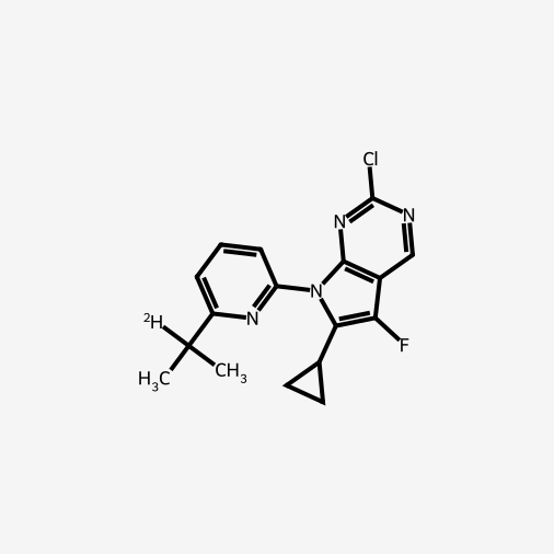 [2H]C(C)(C)c1cccc(-n2c(C3CC3)c(F)c3cnc(Cl)nc32)n1